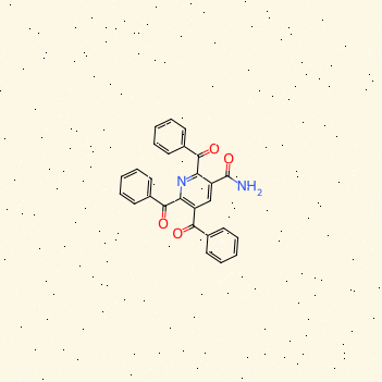 NC(=O)c1cc(C(=O)c2ccccc2)c(C(=O)c2ccccc2)nc1C(=O)c1ccccc1